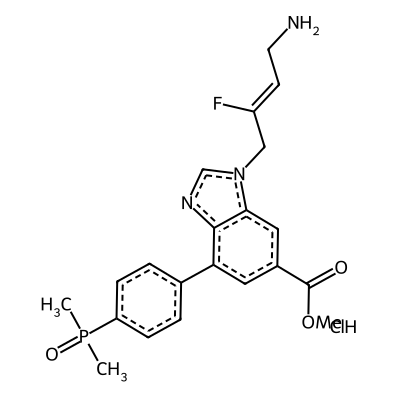 COC(=O)c1cc(-c2ccc(P(C)(C)=O)cc2)c2ncn(CC(F)=CCN)c2c1.Cl